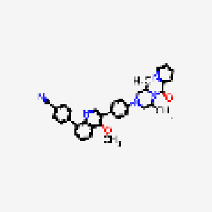 COc1c(-c2ccc(N3CC(C)N(C(=O)c4ccccn4)C(C)C3)cc2)cnc2c(-c3ccc(C#N)cc3)cccc12